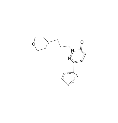 O=c1ccc(-c2ccccn2)nn1CCCN1CCOCC1